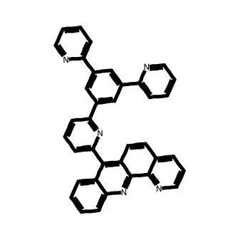 c1ccc(-c2cc(-c3ccccn3)cc(-c3cccc(-c4c5ccccc5nc5c4ccc4cccnc45)n3)c2)nc1